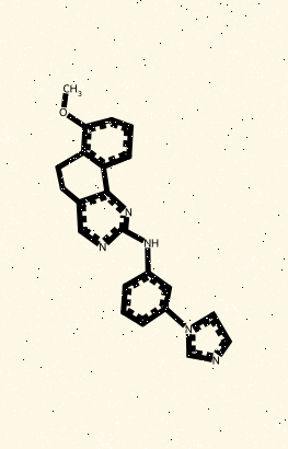 COc1cccc2c1CCc1cnc(Nc3cccc(-n4ccnc4)c3)nc1-2